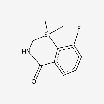 C[Si]1(C)CNC(=O)c2cccc(F)c21